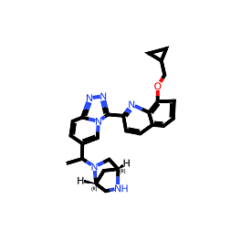 CC(c1ccc2nnc(-c3ccc4cccc(OCC5CC5)c4n3)n2c1)N1C[C@H]2C[C@@H]1CN2